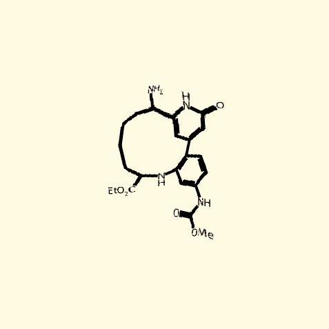 CCOC(=O)C1CCCCC(N)c2cc(cc(=O)[nH]2)-c2ccc(NC(=O)OC)cc2N1